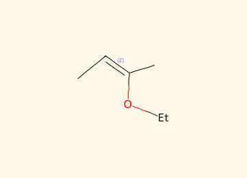 C/C=C(/C)OCC